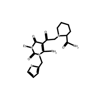 CCn1c(=O)c(C(=O)CN2CCCCC2C(N)=O)c(N)n(Cc2cccs2)c1=O